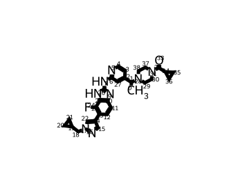 CC(c1ccnc(Nc2nc3ccc(-c4cnn(CC5CC5)c4)c(F)c3[nH]2)c1)N1CCN(C(=O)C2CC2)CC1